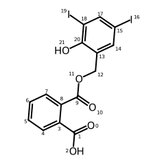 O=C(O)c1ccccc1C(=O)OCc1cc(I)cc(I)c1O